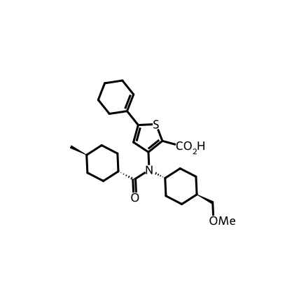 COC[C@H]1CC[C@H](N(c2cc(C3=CCCCC3)sc2C(=O)O)C(=O)[C@H]2CC[C@H](C)CC2)CC1